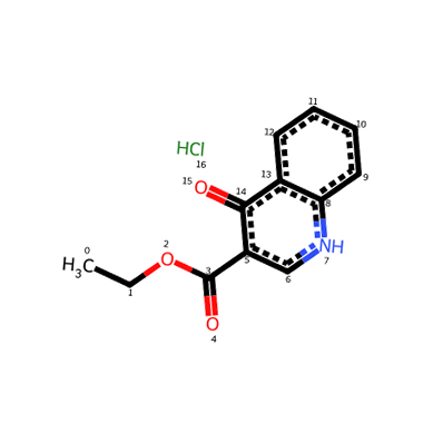 CCOC(=O)c1c[nH]c2ccccc2c1=O.Cl